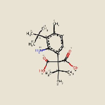 Cc1ccc(C(C(=O)O)(C(=O)O)C(C)(C)C)c(N)c1C(C)(C)C